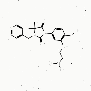 CCN(CC)CCNc1cc(N2C(=O)N(Cc3ccncc3)C(C)(C)C2=O)ccc1OC(F)(F)F